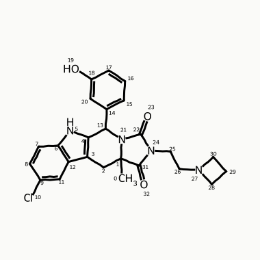 CC12Cc3c([nH]c4ccc(Cl)cc34)C(c3cccc(O)c3)N1C(=O)N(CCN1CCC1)C2=O